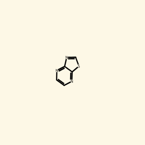 [c]1nc2nccnc2s1